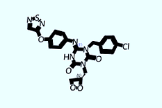 O=c1[nH]/c(=N\c2ccc(Oc3cnsn3)cc2)n(Cc2ccc(Cl)cc2)c(=O)n1C[C@H]1COO1